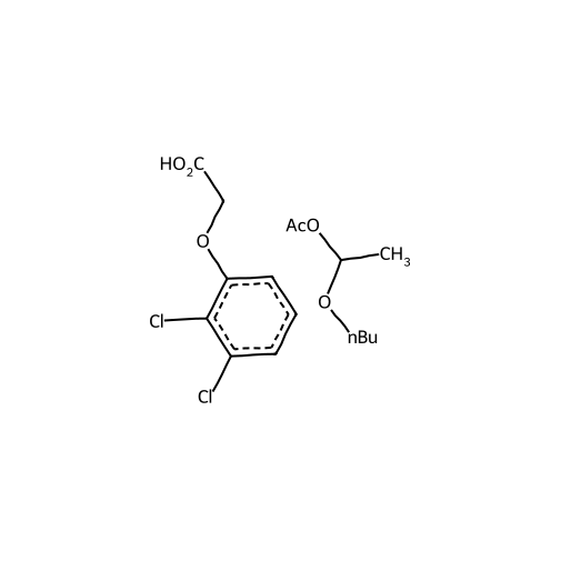 CCCCOC(C)OC(C)=O.O=C(O)COc1cccc(Cl)c1Cl